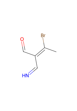 C/C(Br)=C(\C=N)C=O